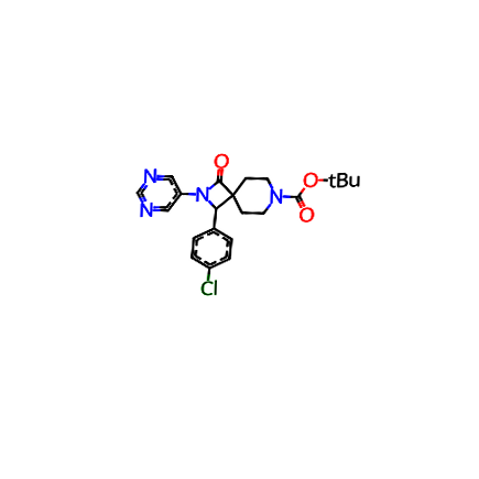 CC(C)(C)OC(=O)N1CCC2(CC1)C(=O)N(c1cncnc1)C2c1ccc(Cl)cc1